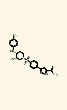 NC(=O)c1cc(-c2ccc(S(=O)(=O)N3CC[C@@H](Nc4ccc(C(F)(F)F)cn4)[C@@H](O)C3)cc2)n[nH]1